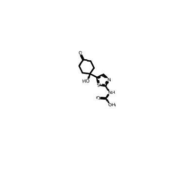 O=C1CCC(O)(c2cnc(NC(=O)O)s2)CC1